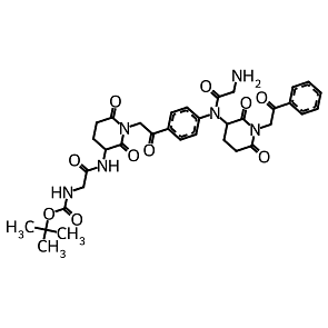 CC(C)(C)OC(=O)NCC(=O)NC1CCC(=O)N(CC(=O)c2ccc(N(C(=O)CN)C3CCC(=O)N(CC(=O)c4ccccc4)C3=O)cc2)C1=O